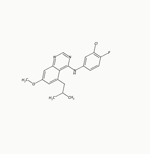 COc1cc(CC(C)C)c2c(Nc3ccc(F)c(Cl)c3)ncnc2c1